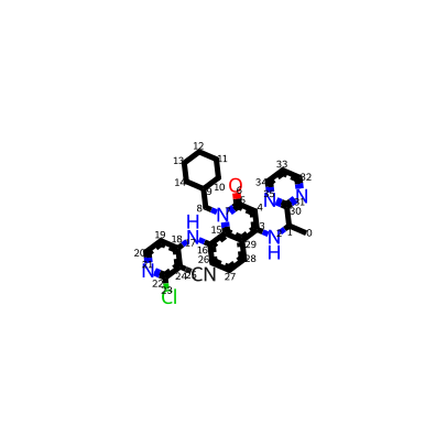 CC(Nc1cc(=O)n(CC2CCCCC2)c2c(Nc3ccnc(Cl)c3C#N)cccc12)c1ncccn1